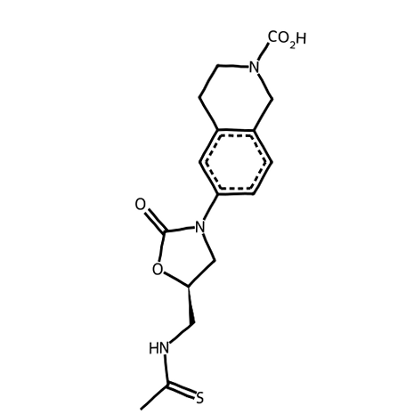 CC(=S)NC[C@@H]1CN(c2ccc3c(c2)CCN(C(=O)O)C3)C(=O)O1